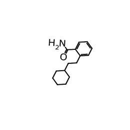 NC(=O)c1ccccc1CCC1CCCCC1